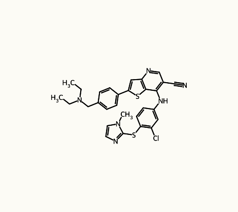 CCN(CC)Cc1ccc(-c2cc3ncc(C#N)c(Nc4ccc(Sc5nccn5C)c(Cl)c4)c3s2)cc1